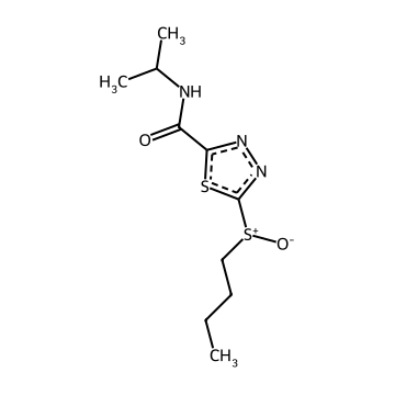 CCCC[S+]([O-])c1nnc(C(=O)NC(C)C)s1